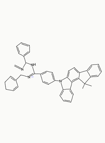 C=NC(N/C(=N\CC1=CCCC=C1)c1ccc(-n2c3ccccc3c3c4c(ccc32)-c2ccccc2C4(C)C)cc1)c1ccccc1